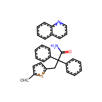 NC(=O)C(Cc1ccc(C=O)s1)(c1ccccc1)c1ccccc1.c1ccc2ncccc2c1